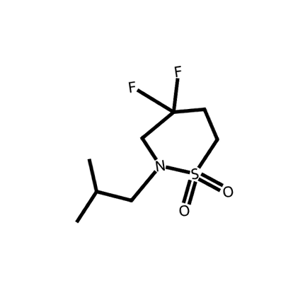 CC(C)CN1CC(F)(F)CCS1(=O)=O